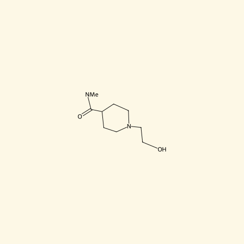 CNC(=O)C1CCN(CCO)CC1